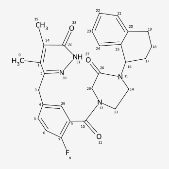 Cc1c(Cc2ccc(F)c(C(=O)N3CCN(C4CCCc5ccccc54)C(=O)C3)c2)n[nH]c(=O)c1C